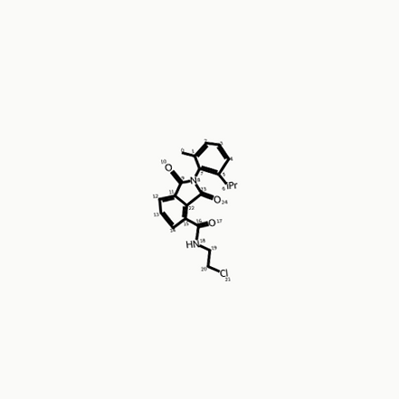 Cc1cccc(C(C)C)c1N1C(=O)c2cccc(C(=O)NCCCl)c2C1=O